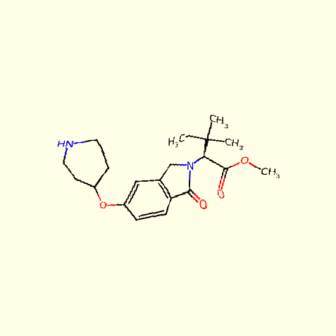 COC(=O)[C@@H](N1Cc2cc(OC3CCNCC3)ccc2C1=O)C(C)(C)C